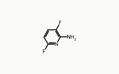 Nc1nc(F)ccc1F